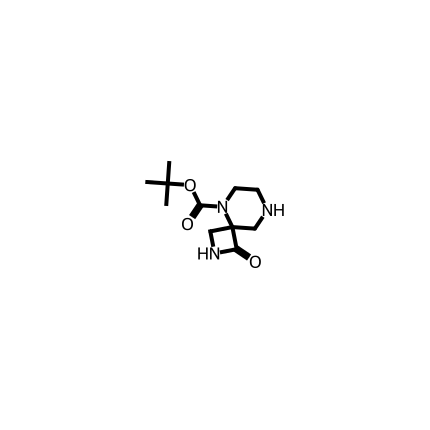 CC(C)(C)OC(=O)N1CCNCC12CNC2=O